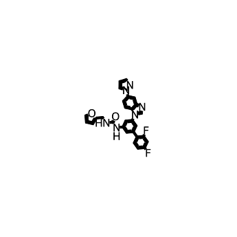 O=C(NCc1ccco1)Nc1cc(-c2ccc(F)cc2F)cc(-n2cnc3cc(-n4cccn4)ccc32)c1